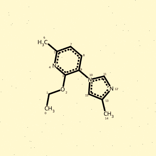 CCOc1nc(C)ccc1-n1cnc(C)c1